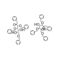 O=C(Cc1ccccc1)[C@H](OCc1ccccc1)[C@@H](O)[C@H](OCc1ccccc1)[C@H](O)COCc1ccccc1.O=C(Cc1ccccc1)[C@H](OCc1ccccc1)[C@@H](OCc1ccccc1)[C@H](O)[C@H](O)COCc1ccccc1